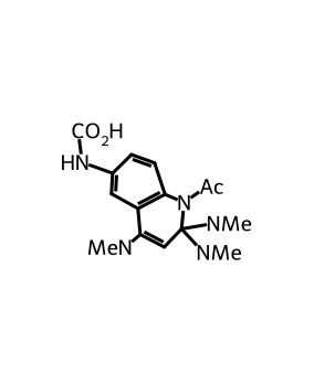 CNC1=CC(NC)(NC)N(C(C)=O)c2ccc(NC(=O)O)cc21